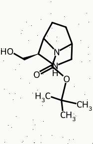 CC(C)(C)OC(=O)N1C2CCC1[C@H](CO)NC2